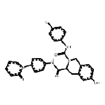 O=C(Nc1ccc(-n2ccccc2=S)cc1)C1Cc2cc(O)ccc2CN1C(=O)Nc1ccc(Cl)cc1